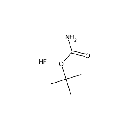 CC(C)(C)OC(N)=O.F